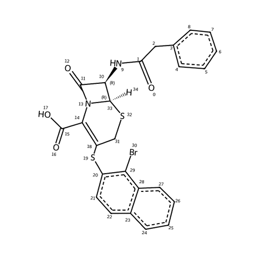 O=C(Cc1ccccc1)N[C@@H]1C(=O)N2C(C(=O)O)=C(Sc3ccc4ccccc4c3Br)CS[C@H]12